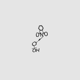 CC(C)(O)c1cccc(C#CCN2C(=O)c3ccccc3C2=O)c1